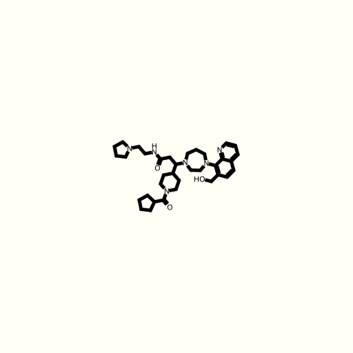 O=C(CC(C1CCN(C(=O)C2CCCC2)CC1)N1CCCN(c2c(CO)ccc3cccnc23)CC1)NCCN1CCCC1